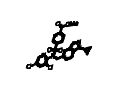 COC(=O)c1ccc(S(=O)(=O)N(Cc2ccc3c(cnn3C3CC3)c2)c2ncc(Cl)cc2Cl)cc1